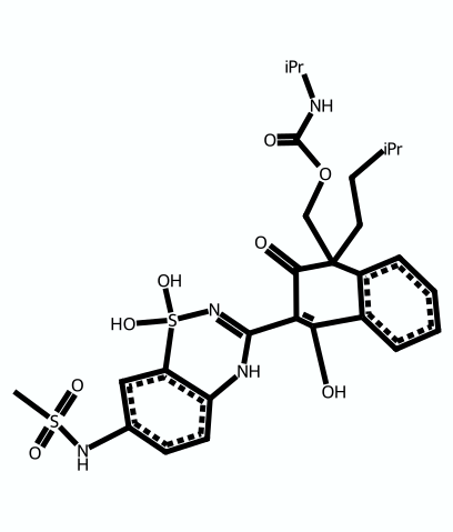 CC(C)CCC1(COC(=O)NC(C)C)C(=O)C(C2=NS(O)(O)c3cc(NS(C)(=O)=O)ccc3N2)=C(O)c2ccccc21